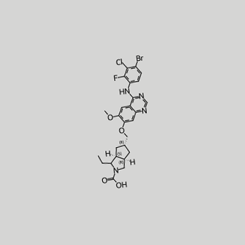 CCC1[C@H]2C[C@H](COc3cc4ncnc(Nc5ccc(Br)c(Cl)c5F)c4cc3OC)C[C@H]2CN1C(=O)O